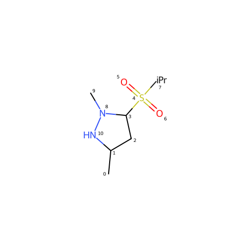 CC1CC(S(=O)(=O)C(C)C)N(C)N1